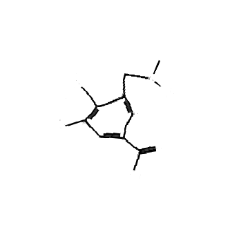 CC(=O)c1cc(Br)c(N)c(CN(C)C)c1.Cl